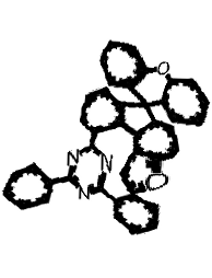 c1ccc(-c2nc(-c3ccccc3)nc(-c3cccc4c3-c3c(ccc5occc35)C43c4ccccc4Oc4ccccc43)n2)cc1